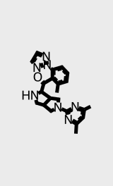 Cc1cc(C)nc(N2CC3CNC(C(=O)c4c(C)cccc4-n4nccn4)C3C2)n1